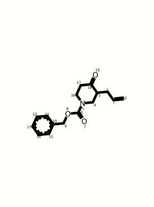 C=CCC1CN(C(=O)OCc2ccccc2)CCC1=O